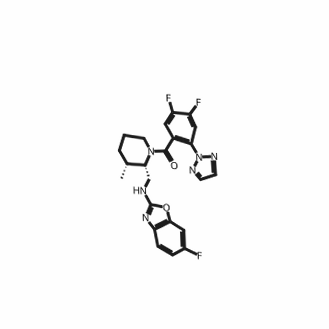 C[C@@H]1CCCN(C(=O)c2cc(F)c(F)cc2-n2nccn2)[C@@H]1CNc1nc2ccc(F)cc2o1